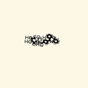 O=C(NOC1OC(C(=O)O)C(O)C(O)C1O)c1ccc(C2=Nc3ccccc3Oc3ccccc32)cc1